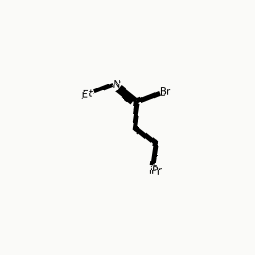 CC/N=C(/Br)CCC(C)C